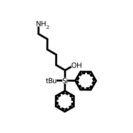 CC(C)(C)[Si](c1ccccc1)(c1ccccc1)C(O)CCCCCN